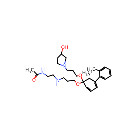 CC(=O)NCCNCCCOC1(OCCCN2CCC(O)C2)C=CC=C(c2ccccc2C)[C@H]1C